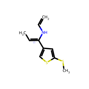 C=CN/C(=C\C)c1csc(SC)c1